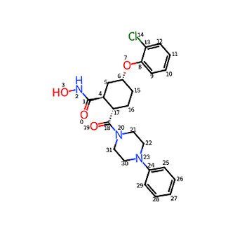 O=C(NO)[C@H]1C[C@H](Oc2ccccc2Cl)CC[C@@H]1C(=O)N1CCN(c2ccccc2)CC1